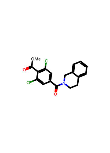 COC(=O)c1c(Cl)cc(C(=O)N2CCc3ccccc3C2)cc1Cl